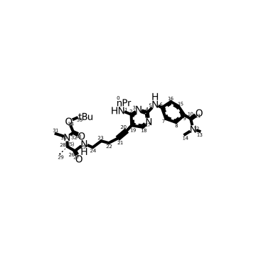 CCCNc1nc(Nc2ccc(C(=O)N(C)C)cc2)ncc1C#CCCCNC(=O)[C@H](C)N(C)C(=O)OC(C)(C)C